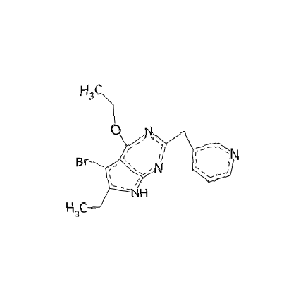 CCOc1nc(Cc2cccnc2)nc2[nH]c(CC)c(Br)c12